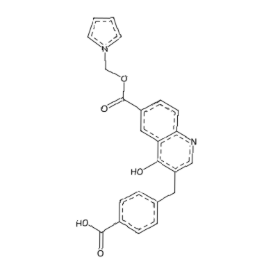 O=C(O)c1ccc(Cc2cnc3ccc(C(=O)OCn4cccc4)cc3c2O)cc1